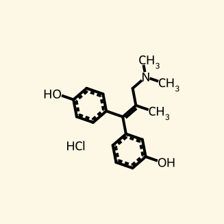 CC(CN(C)C)=C(c1ccc(O)cc1)c1cccc(O)c1.Cl